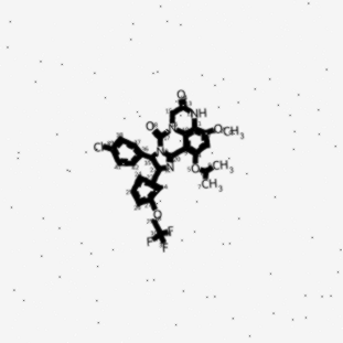 COc1cc(OC(C)C)c2c3c1NC(=O)CN3C(=O)N1C2=NC(c2cccc(OCC(F)(F)F)c2)C1c1ccc(Cl)cc1